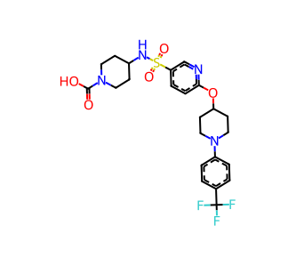 O=C(O)N1CCC(NS(=O)(=O)c2ccc(OC3CCN(c4ccc(C(F)(F)F)cc4)CC3)nc2)CC1